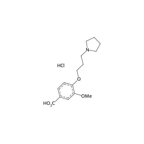 COc1cc(C(=O)O)ccc1OCCCN1CCCC1.Cl